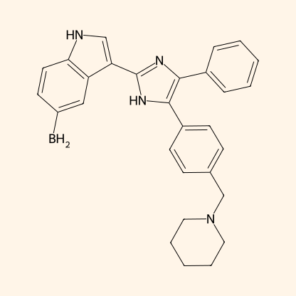 Bc1ccc2[nH]cc(-c3nc(-c4ccccc4)c(-c4ccc(CN5CCCCC5)cc4)[nH]3)c2c1